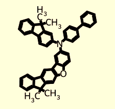 CC1(C)c2ccccc2-c2ccc(N(c3ccc(-c4ccccc4)cc3)c3ccc4oc5cc6c(cc5c4c3)-c3ccccc3C6(C)C)cc21